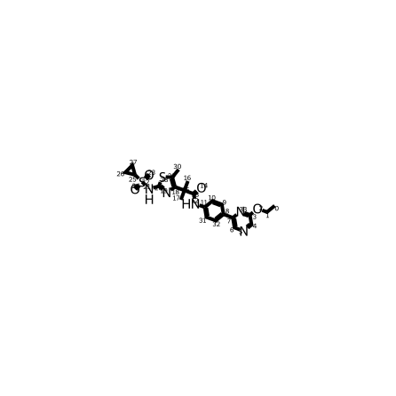 CCOc1cncc(-c2ccc(NC(=O)C(C)(C)c3nc(NS(=O)(=O)C4CC4)sc3C)cc2)n1